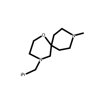 CC(C)CN1CCOC2(CCN(C)CC2)C1